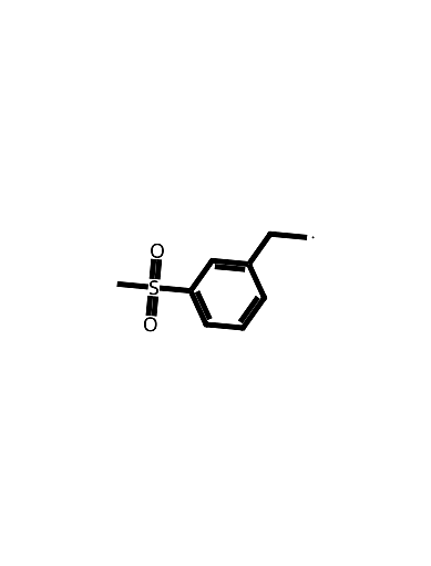 [CH2]Cc1cccc(S(C)(=O)=O)c1